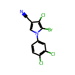 N#Cc1cn(-c2ccc(Cl)c(Cl)c2)c(Br)c1Cl